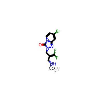 O=C(O)NCC(Cn1nc2cc(Br)ccn2c1=O)=C(F)F